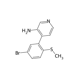 CSc1ccc(Br)cc1-c1ccncc1N